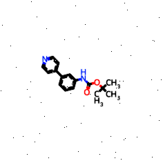 CC(C)(C)OC(=O)Nc1cccc(-c2ccncc2)c1